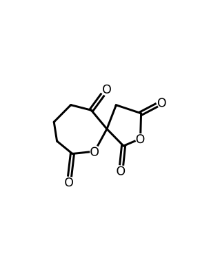 O=C1CC2(OC(=O)CCCC2=O)C(=O)O1